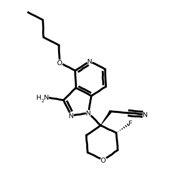 CCCCOc1nccc2c1c(N)nn2[C@@]1(CC#N)CCOC[C@H]1F